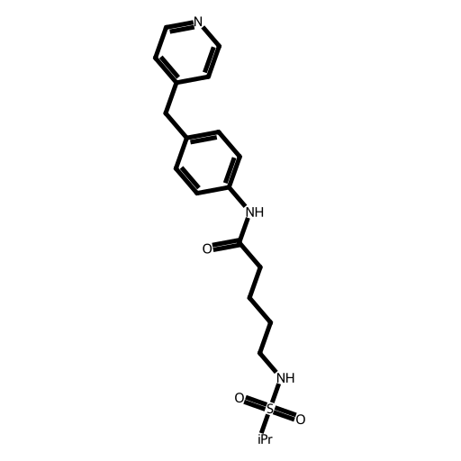 CC(C)S(=O)(=O)NCCCCC(=O)Nc1ccc(Cc2ccncc2)cc1